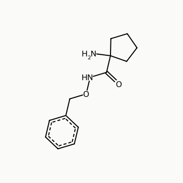 NC1(C(=O)NOCc2ccccc2)CCCC1